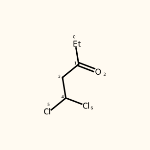 [CH2]CC(=O)CC(Cl)Cl